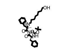 CC(C)(C)OC(=O)N[C@@H](Cc1ccccc1)C(=O)NC(=O)[C@@](C)(Cc1ccccc1)NCCCCCCCCO